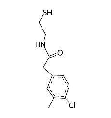 Cc1cc(CC(=O)NCCS)ccc1Cl